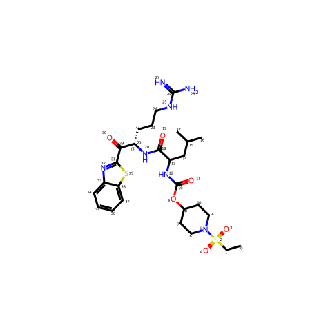 CCS(=O)(=O)N1CCC(OC(=O)NC(CC(C)C)C(=O)N[C@@H](CCCNC(=N)N)C(=O)c2nc3ccccc3s2)CC1